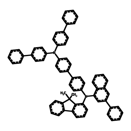 CC1(C)c2ccccc2-c2cccc(N(c3ccc(-c4ccc(N(c5ccc(-c6ccccc6)cc5)c5ccc(-c6ccccc6)cc5)cc4)cc3)c3cc(-c4ccccc4)cc4ccccc34)c21